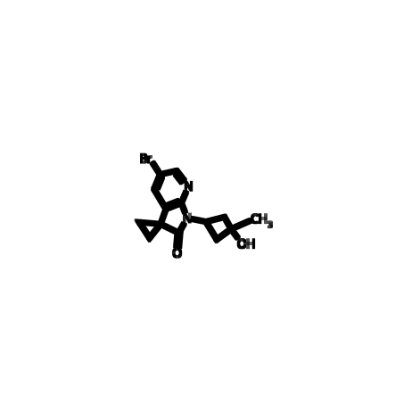 CC1(O)CC(N2C(=O)C3(CC3)c3cc(Br)cnc32)C1